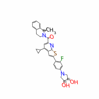 C[C@@H]1c2ccccc2CCN1C(=O)c1cc(C2CC2)c2cc(-c3ccc(N4C[C@H](O)[C@@H](O)C4)cc3F)sc2n1